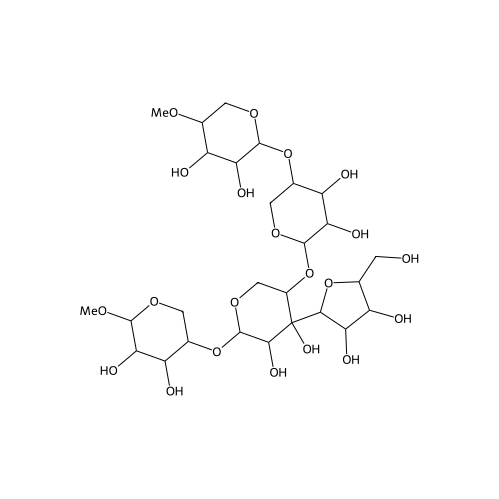 COC1COC(OC2COC(OC3COC(OC4COC(OC)C(O)C4O)C(O)C3(O)C3OC(CO)C(O)C3O)C(O)C2O)C(O)C1O